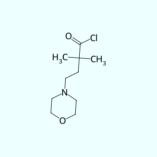 CC(C)(CCN1CCOCC1)C(=O)Cl